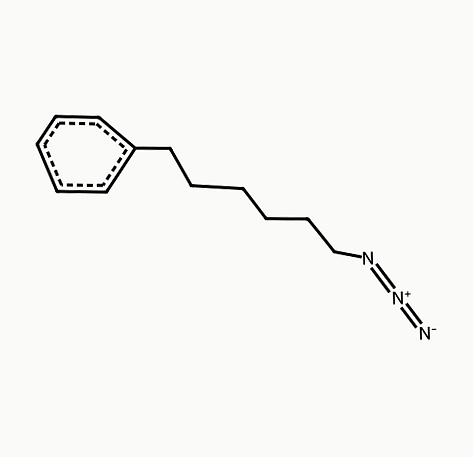 [N-]=[N+]=NCCCCCCc1ccccc1